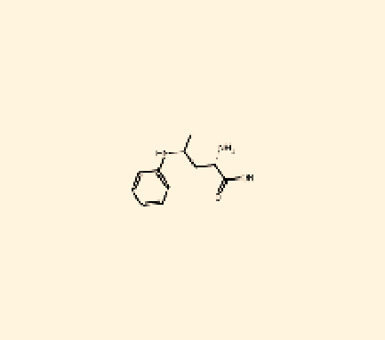 CC(C[C@H](N)C(=O)O)Nc1ccccc1